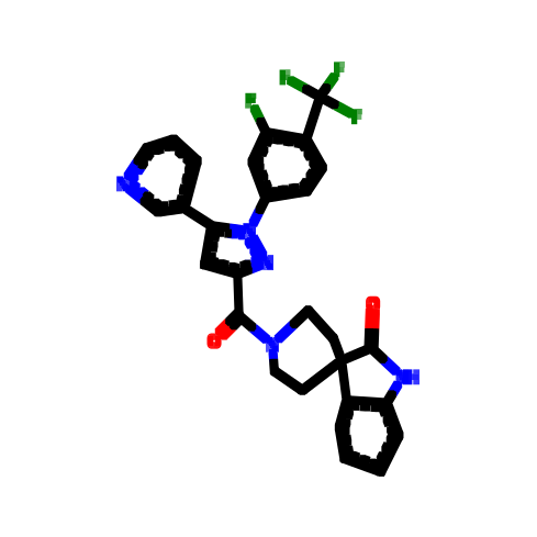 O=C(c1cc(-c2cccnc2)n(-c2ccc(C(F)(F)F)c(F)c2)n1)N1CCC2(CC1)C(=O)Nc1ccccc12